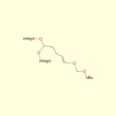 CCCCCCCOC(CCC=COCOCCCC)OCCCCCCC